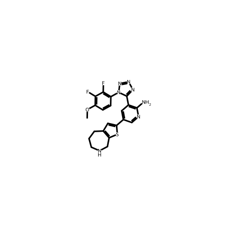 COc1ccc(-n2nnnc2-c2cc(-c3cc4c(s3)CNCCC4)cnc2N)c(F)c1F